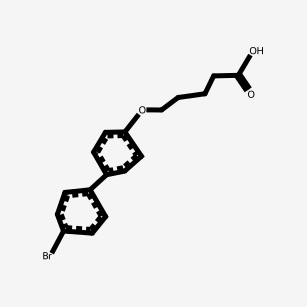 O=C(O)CCCCOc1ccc(-c2ccc(Br)cc2)cc1